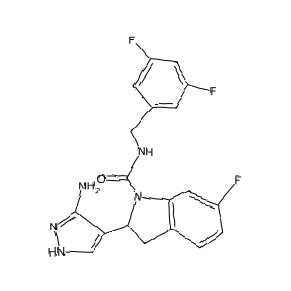 Nc1n[nH]cc1C1Cc2ccc(F)cc2N1C(=O)NCc1cc(F)cc(F)c1